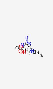 Cn1cc(-c2cnc3[nH]cc(-c4cc([C@](C)(O)c5ccccc5)on4)c3c2)cn1